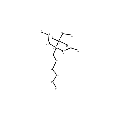 CCCCCC[Si](OCC)(OCC)C(C)(C)CC